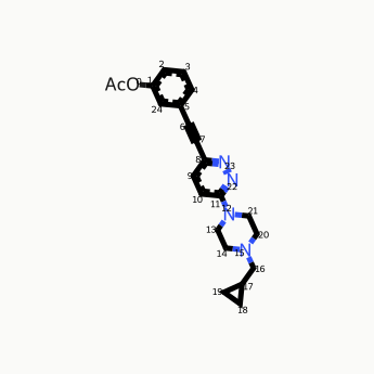 CC(=O)Oc1cccc(C#Cc2ccc(N3CCN(CC4CC4)CC3)nn2)c1